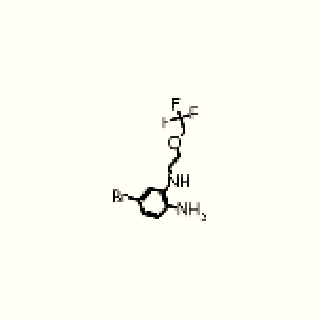 Nc1ccc(Br)cc1NCCOCC(F)(F)F